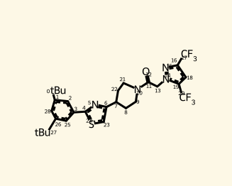 CC(C)(C)c1cc(-c2nc(C3CCN(C(=O)Cn4nc(C(F)(F)F)cc4C(F)(F)F)CC3)cs2)cc(C(C)(C)C)c1